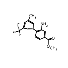 COC(=O)c1ccc(-c2cc(C)cc(C(F)(F)F)c2)c(N)c1